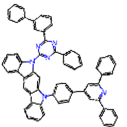 c1ccc(-c2cccc(-c3nc(-c4ccccc4)nc(-n4c5ccccc5c5cc6c7ccccc7n(-c7ccc(-c8cc(-c9ccccc9)nc(-c9ccccc9)c8)cc7)c6cc54)n3)c2)cc1